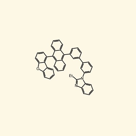 CCc1nc2ccccc2n1-c1cccc(-c2cccc(-c3c4ccccc4c(-c4cccc5oc6ccccc6c45)c4ccccc34)c2)c1